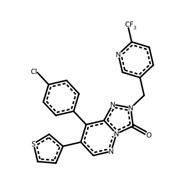 O=c1n(Cc2ccc(C(F)(F)F)nc2)nc2c(-c3ccc(Cl)cc3)c(-c3ccsc3)cnn12